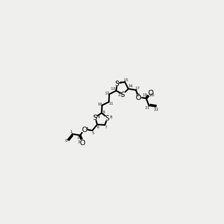 C=CC(=O)OCC1CSC(CCCC2SCC(COC(=O)C=C)S2)S1